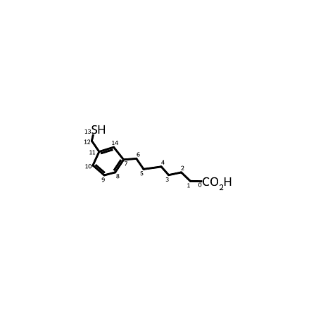 O=C(O)CCCCCCc1cccc(CS)c1